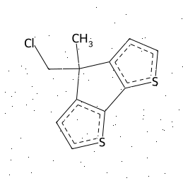 CC1(CCl)c2ccsc2-c2sccc21